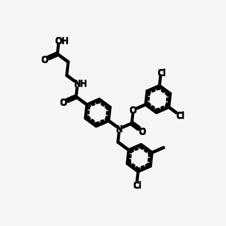 Cc1cc(Cl)cc(CN(C(=O)Oc2cc(Cl)cc(Cl)c2)c2ccc(C(=O)NCCC(=O)O)cc2)c1